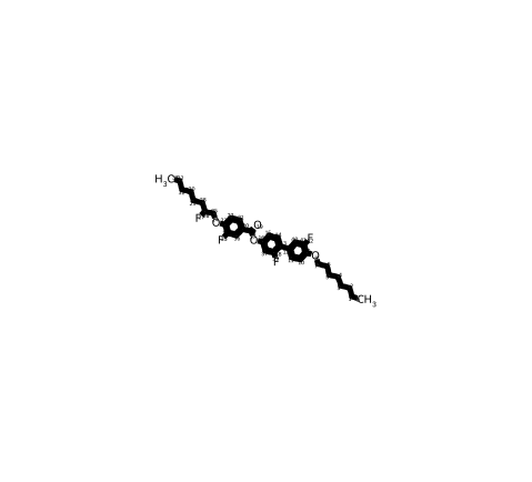 CCCCCCCCOc1ccc(-c2ccc(OC(=O)c3ccc(OCC(F)CCCCCC)c(F)c3)cc2F)cc1F